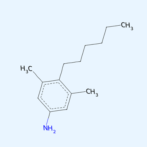 CCCCCCc1c(C)cc(N)cc1C